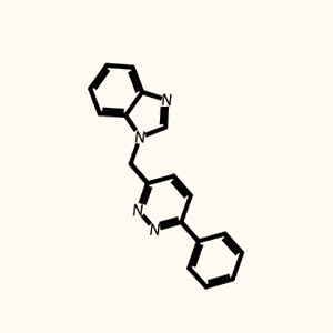 c1ccc(-c2ccc(Cn3cnc4ccccc43)nn2)cc1